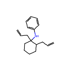 C=CCC1CCCCC1(CC=C)Nc1ccccc1